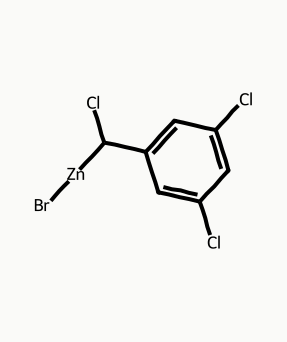 Clc1cc(Cl)cc([CH](Cl)[Zn][Br])c1